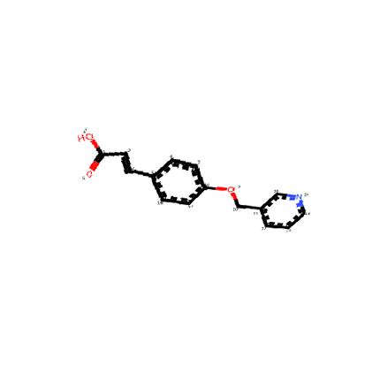 O=C(O)C=Cc1ccc(OCc2cccnc2)cc1